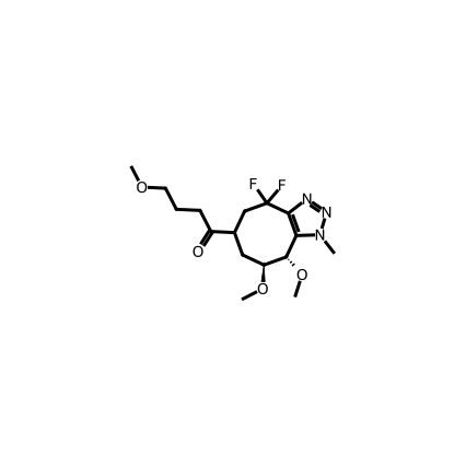 COCCCC(=O)C1C[C@H](OC)[C@@H](OC)c2c(nnn2C)C(F)(F)C1